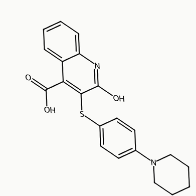 O=C(O)c1c(Sc2ccc(N3CCCCC3)cc2)c(O)nc2ccccc12